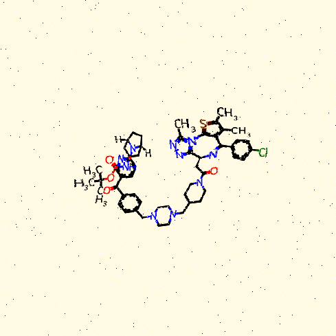 Cc1sc2c(c1C)C(c1ccc(Cl)cc1)=N[C@@H](CC(=O)N1CCC(CN3CCN(Cc4ccc(C(=O)c5ccc(N6[C@@H]7CC[C@H]6CC(NC(=O)OC(C)(C)C)C7)nc5)cc4)CC3)CC1)c1nnc(C)n1-2